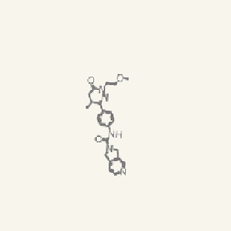 COCCN1N=C(c2ccc(NC(=O)N3Cc4ccncc4C3)cc2)C(C)CC1=O